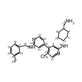 NC[C@H]1CC[C@H](Nc2cc(-c3ccnc(NCc4cccc(F)c4)c3)c(Cl)cn2)CC1